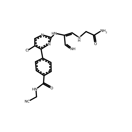 N#CCNC(=O)c1ccc(-c2nc(N/C(C=N)=C/NCC(N)=O)ncc2Cl)cc1